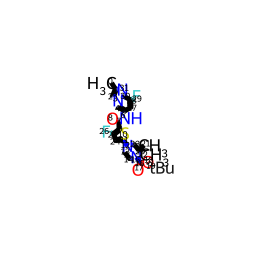 Cc1cn2cc(NC(=O)c3sc(N4CCN(C(=O)OC(C)(C)C)C(C)(C)C4)cc3F)cc(F)c2n1